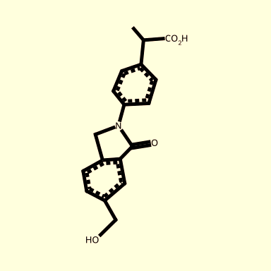 CC(C(=O)O)c1ccc(N2Cc3ccc(CO)cc3C2=O)cc1